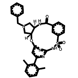 Cc1cccc(C)c1-c1cc2nc(n1)NS(=O)(=O)c1cccc(c1)C(=O)N[C@@H]1CN(Cc3ccccc3)C[C@H]1O2